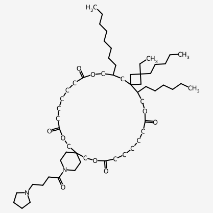 CCCCCCCCC1COC(=O)CCCCCC(=O)OCC2(CCN(C(=O)CCCN3CCCC3)CC2)COC(=O)CCCCCC(=O)OCC(CCCCCC)C2(C1)CC(CC)(CCCCC)C2